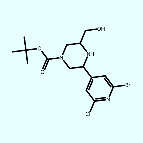 CC(C)(C)OC(=O)N1CC(CO)NC(c2cc(Cl)nc(Br)c2)C1